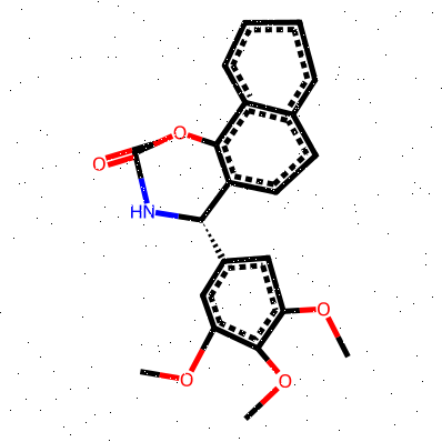 COc1cc([C@@H]2NC(=O)Oc3c2ccc2ccccc32)cc(OC)c1OC